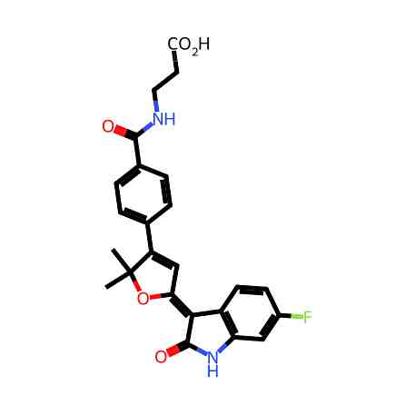 CC1(C)OC(=C2C(=O)Nc3cc(F)ccc32)C=C1c1ccc(C(=O)NCCC(=O)O)cc1